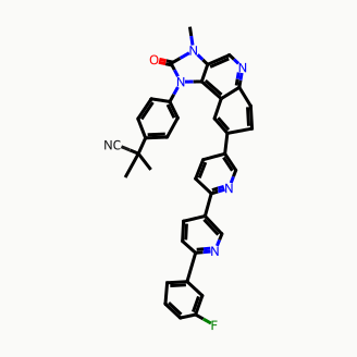 Cn1c(=O)n(-c2ccc(C(C)(C)C#N)cc2)c2c3cc(-c4ccc(-c5ccc(-c6cccc(F)c6)nc5)nc4)ccc3ncc21